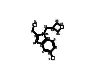 ClCc1nc2cc(Cl)ccc2n1CC1COC1